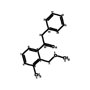 COCc1c(C)cccc1C(=O)Cc1ccccc1